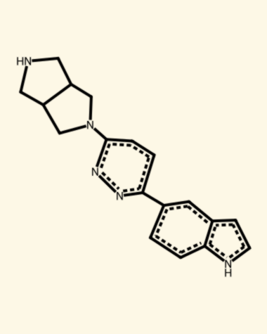 c1cc2cc(-c3ccc(N4CC5CNCC5C4)nn3)ccc2[nH]1